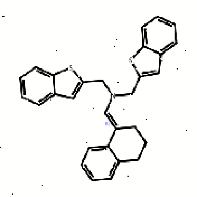 C(=C1/CCCc2ccccc21)/N(Cc1cc2ccccc2s1)Cc1cc2ccccc2s1